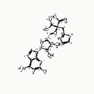 Nc1nc(Cl)nc2c1ncn2[C@@H]1O[C@H](COC(Cc2nccs2)(C(=O)O)C(O)O)[C@@H](O)[C@H]1O